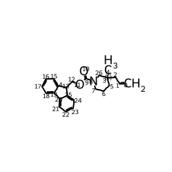 C=CC[C@]1(C)CCCN(C(=O)OCC2c3ccccc3-c3ccccc32)C1